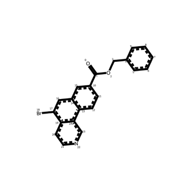 O=C(OCc1ccccc1)c1ccc2c(c1)cc(Br)c1ccncc12